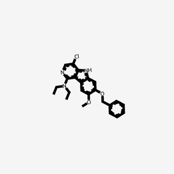 CCN(CC)c1ncc(Cl)c2[nH]c3cc(OCc4ccccc4)c(OC)cc3c12